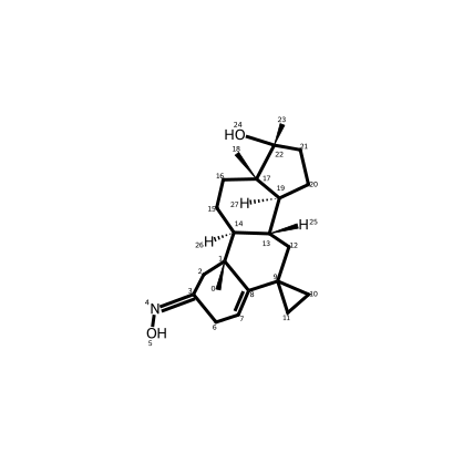 C[C@]12C/C(=N/O)CC=C1C1(CC1)C[C@@H]1[C@@H]2CC[C@@]2(C)[C@H]1CC[C@@]2(C)O